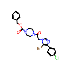 O=C(Cn1cnc(-c2ccc(Cl)cc2)c1Br)N1CCN(C(=O)OCc2ccccc2)CC1